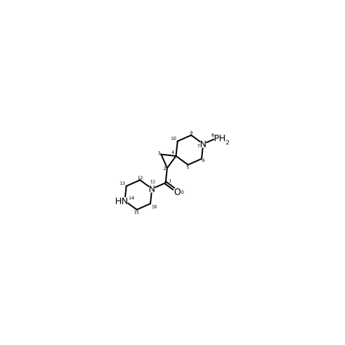 O=C(C1CC12CCN(P)CC2)N1CCNCC1